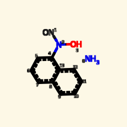 N.O=NN(O)c1cccc2ccccc12